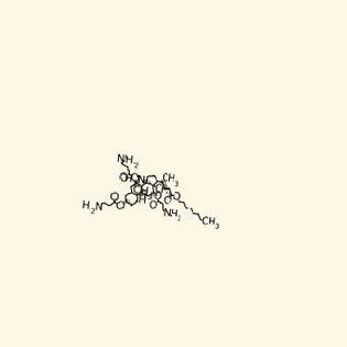 CCCCCCCCOC(=O)CC[C@@H](C)C1CC[C@@]2(N)C3[C@H](OC(=O)CCN)CC4C[C@H](OC(=O)CCN)CCC4(C)[C@H]3C[C@H](OC(=O)CCN)C12C